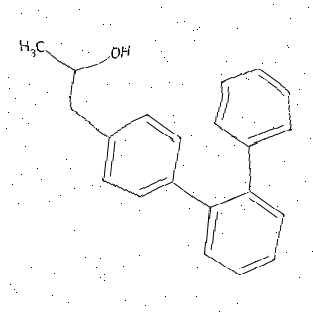 CC(O)Cc1ccc(-c2ccccc2-c2ccccc2)cc1